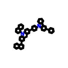 c1ccc(-c2ccc3c(c2)c2ccccc2n3-c2ccc(-c3ccc4c(c3)Cc3cc(-c5cccc6ccccc56)ccc3N4c3cccc4ccccc34)cc2)cc1